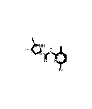 Cc1ccc(Br)nc1NC(=O)[C@@H]1C[C@H](C)[C@@H](I)N1